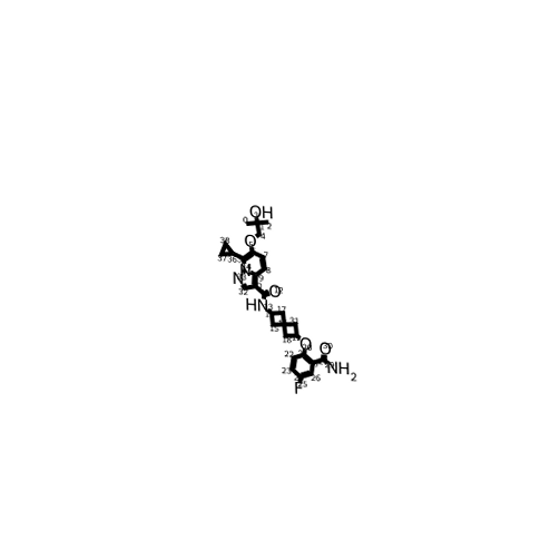 CC(C)(O)COc1ccc2c(C(=O)NC3CC4(C3)CC(Oc3ccc(F)cc3C(N)=O)C4)cnn2c1C1CC1